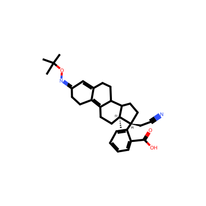 CC(C)(C)ON=C1C=C2CCC3C(=C2CC1)CC[C@@]1(C)C3CC[C@]1(CC#N)c1ccccc1C(=O)O